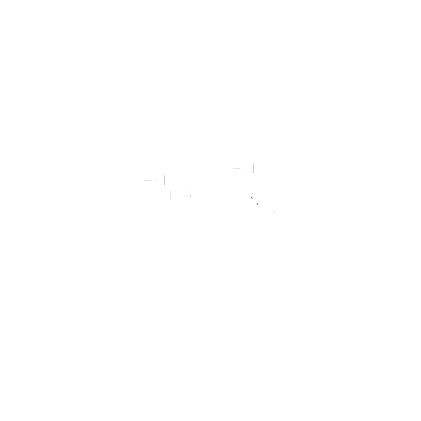 CC(N)O.Cl.Cl